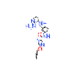 CC#CCOc1cnc(C(=O)Nc2cccc(CNc3cccnc3N)c2)cn1